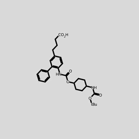 CC(C)(C)OC(=O)NC1CCC(OC(=O)Nc2ccc(CCCC(=O)O)cc2-c2ccccc2)CC1